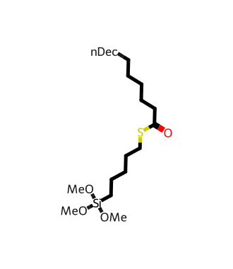 CCCCCCCCCCCCCCCC(=O)SCCCCC[Si](OC)(OC)OC